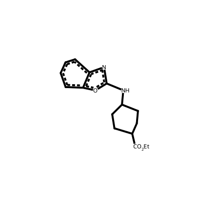 CCOC(=O)C1CCC(Nc2nc3ccccc3o2)CC1